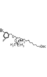 CCCCCCCCCCCCCCCCCCOC[C@H](COCc1cc(F)cc(Br)c1)O[Si](C)(C)C